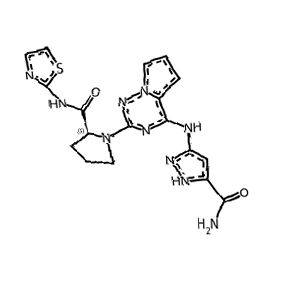 NC(=O)c1cc(Nc2nc(N3CCC[C@H]3C(=O)Nc3nccs3)nn3cccc23)n[nH]1